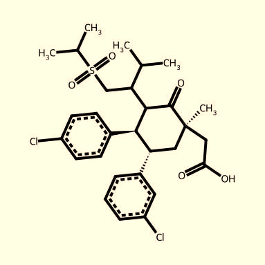 CC(C)C(CS(=O)(=O)C(C)C)C1C(=O)[C@@](C)(CC(=O)O)C[C@H](c2cccc(Cl)c2)[C@H]1c1ccc(Cl)cc1